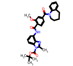 COc1cc(C(=O)N2CCCCc3ccccc32)ccc1C(=O)Nc1cccc2c1nc(C)n2C(=O)OC(C)(C)C